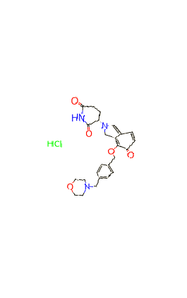 Cl.O=C1CC[C@H](N2C=C3C=CC(=O)C(OCc4ccc(CN5CCOCC5)cc4)=C3C2)C(=O)N1